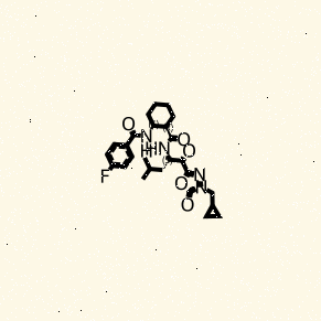 CC(C)C[C@H](NC(=O)[C@@H]1CCCC[C@@H]1NC(=O)c1ccc(F)cc1)C(=O)c1nn(CC2CC2)c(=O)o1